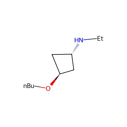 CCCCO[C@H]1C[C@H](NCC)C1